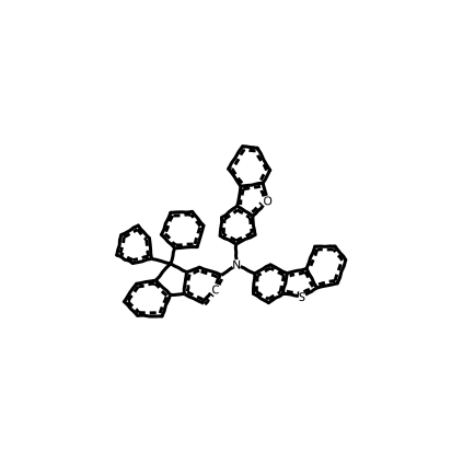 c1ccc(C2(c3ccccc3)c3ccccc3-c3ccc(N(c4ccc5c(c4)oc4ccccc45)c4ccc5sc6ccccc6c5c4)cc32)cc1